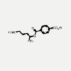 CCCCCCCCCCCCCC(CCCC)OC(=O)c1ccc(C(=O)O)cc1